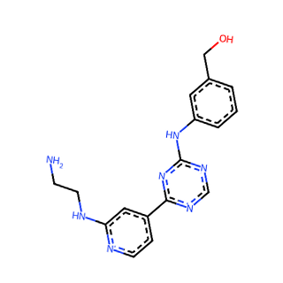 NCCNc1cc(-c2ncnc(Nc3cccc(CO)c3)n2)ccn1